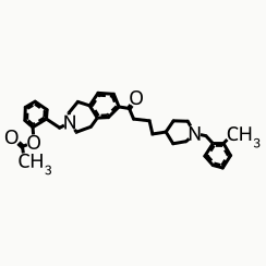 CC(=O)Oc1ccccc1CN1CCc2ccc(C(=O)CCCC3CCN(Cc4ccccc4C)CC3)cc2CC1